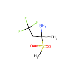 CC(N)(CC(F)(F)F)S(C)(=O)=O